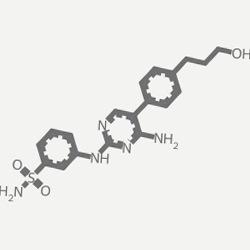 Nc1nc(Nc2cccc(S(N)(=O)=O)c2)ncc1-c1ccc(CCCO)cc1